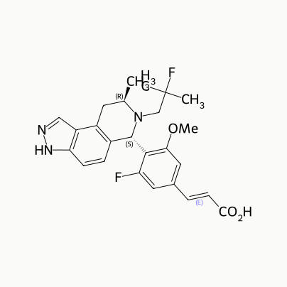 COc1cc(/C=C/C(=O)O)cc(F)c1[C@@H]1c2ccc3[nH]ncc3c2C[C@@H](C)N1CC(C)(C)F